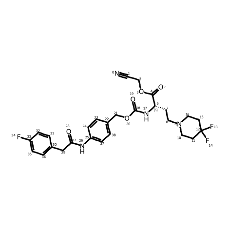 N#CCOC(=O)[C@H](CCN1CCC(F)(F)CC1)NC(=O)OCc1ccc(NC(=O)Cc2ccc(F)cc2)cc1